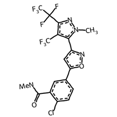 CNC(=O)c1cc(-c2cc(-c3c(C(F)(F)F)c(C(F)(F)C(F)(F)F)nn3C)no2)ccc1Cl